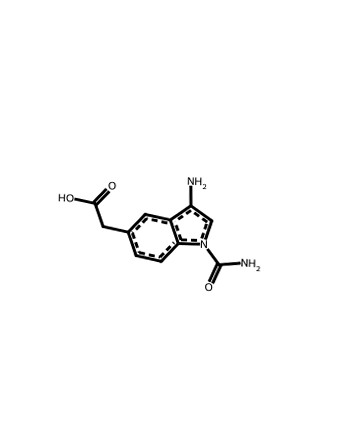 NC(=O)n1cc(N)c2cc(CC(=O)O)ccc21